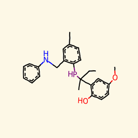 CCC(C)(Pc1ccc(C)cc1CNc1ccccc1)c1cc(OC)ccc1O